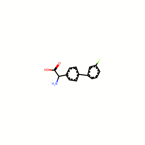 NC(C(=O)O)c1ccc(-c2cccc(F)c2)cc1